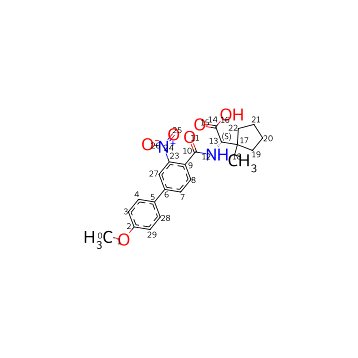 COc1ccc(-c2ccc(C(=O)N[C@H](C(=O)O)C3(C)CCCC3)c([N+](=O)[O-])c2)cc1